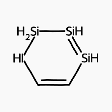 C1=C[IH][SiH2][SiH]=[SiH]1